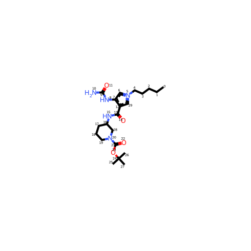 CCCCCn1cc(NC(N)=O)c(C(=O)NC2CCCN(C(=O)OC(C)(C)C)C2)c1